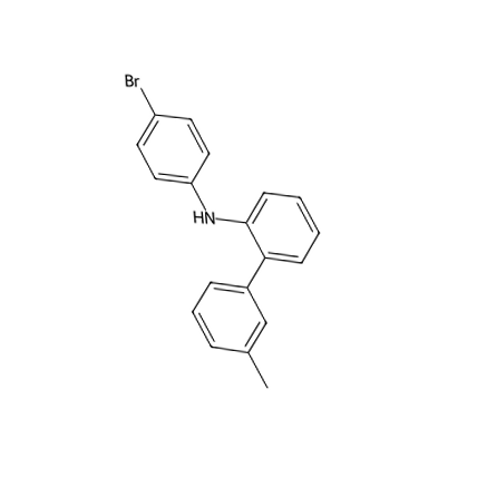 Cc1cccc(-c2ccccc2Nc2ccc(Br)cc2)c1